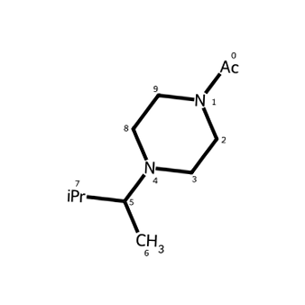 CC(=O)N1CCN(C(C)C(C)C)CC1